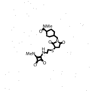 CNC(=O)C1CCC(CN2C(=O)CC(SCCNc3c(NC)c(=O)c3=O)C2=O)CC1